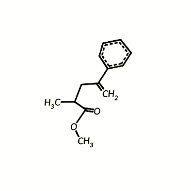 C=C(CC(C)C(=O)OC)c1ccccc1